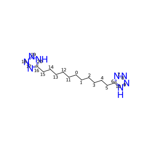 C(CCCCCc1nnn[nH]1)CCCCCc1nnn[nH]1